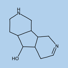 OC1C2CC=NCC2C2CNCCC12